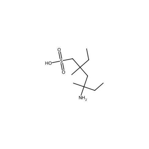 CCC(C)(N)CC(C)(CC)CS(=O)(=O)O